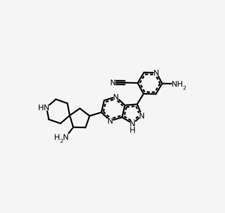 N#Cc1cnc(N)cc1-c1n[nH]c2nc(C3CC(N)C4(CCNCC4)C3)cnc12